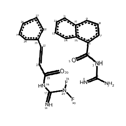 N=C(N)NC(=O)c1cccc2ccccc12.N=C(NC(=O)C=Cc1ccccc1)N(F)F